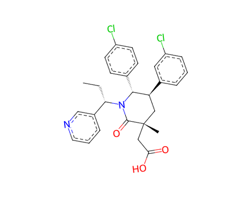 CC[C@@H](c1cccnc1)N1C(=O)[C@@](C)(CC(=O)O)C[C@H](c2cccc(Cl)c2)[C@H]1c1ccc(Cl)cc1